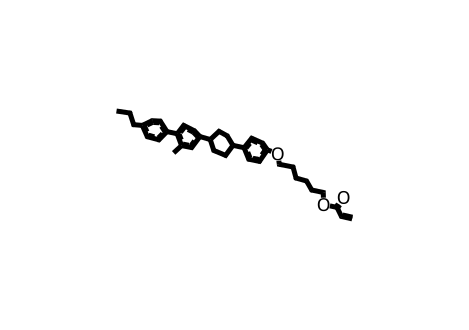 C=CC(=O)OCCCCCCOc1ccc(C2CCC(c3ccc(-c4ccc(CCC)cc4)c(C)c3)CC2)cc1